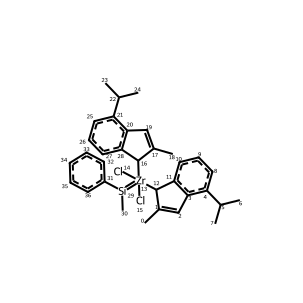 CC1=Cc2c(C(C)C)cccc2[CH]1[Zr]([Cl])([Cl])([CH]1C(C)=Cc2c(C(C)C)cccc21)=[Si](C)c1ccccc1